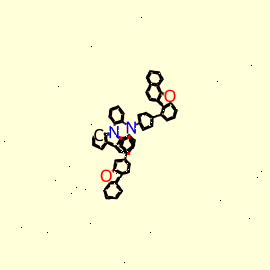 c1ccc(-n2c3ccccc3c3ccccc32)c(N(c2ccc(-c3ccc4c(c3)oc3ccccc34)cc2)c2ccc(-c3cccc4oc5c6ccccc6ccc5c34)cc2)c1